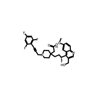 COc1ccc2ncc(CO)c([C@@H](F)CCC3(CC(=O)O)CCN(CC#Cc4c(F)cc(F)cc4F)CC3)c2c1